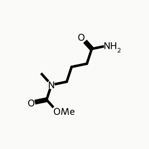 COC(=O)N(C)CCCC(N)=O